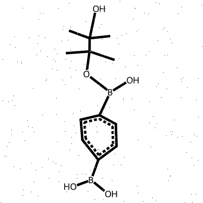 CC(C)(O)C(C)(C)OB(O)c1ccc(B(O)O)cc1